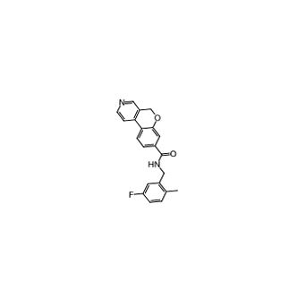 Cc1ccc(F)cc1CNC(=O)c1ccc2c(c1)OCc1cnccc1-2